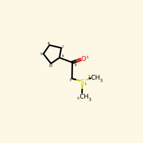 C[S+](C)CC(=O)C1CCCC1